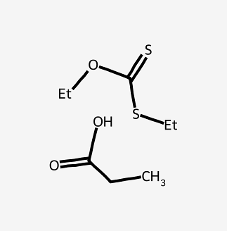 CCC(=O)O.CCOC(=S)SCC